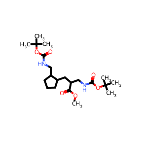 COC(=O)C(CNC(=O)OC(C)(C)C)CC1CCCC1CNC(=O)OC(C)(C)C